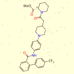 COC(=O)[C@@H]1CCCCN1C(=O)CC1CCN(c2ccc(NC(=O)c3ccccc3-c3ccc(C(F)(F)F)cc3)cc2)CC1